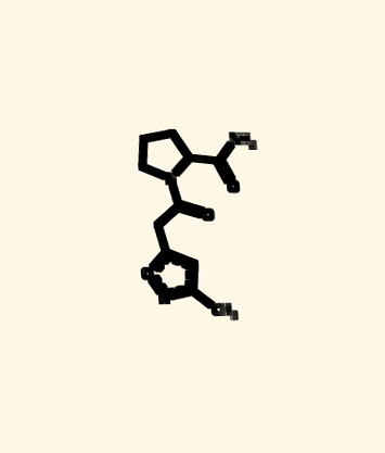 Cc1cc(CC(=O)N2CCCC2C(N)=O)on1